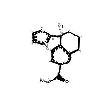 COC(=O)c1ccc2c(c1)CCC[C@]2(O)c1nccs1